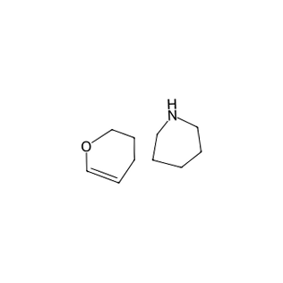 C1=COCCC1.C1CCNCC1